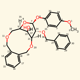 COc1ccc(O[C@@H]2O[C@@H]3COCc4ccccc4CO[C@@H]([C@@H]3O)[C@H]2OCc2ccccc2)cc1